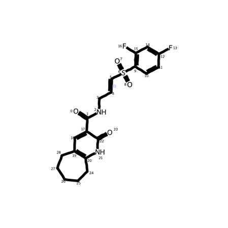 O=C(NC/C=C/S(=O)(=O)c1ccc(F)cc1F)c1cc2c([nH]c1=O)CCCCC2